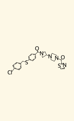 O=C(c1ccc(SCc2ccc(Cl)cc2)cc1)N1CC(N2CCN(C(=O)c3nccs3)CC2)C1